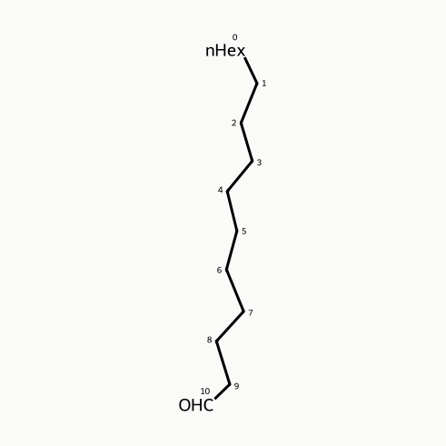 CCCCCCCCCCCCCCCC=O